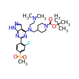 CN(C)CCN(CC1CCN(C(=O)OC(C)(C)C)CC1)c1nc(-c2ccc(S(C)(=O)=O)cc2F)nc2[nH]ncc12